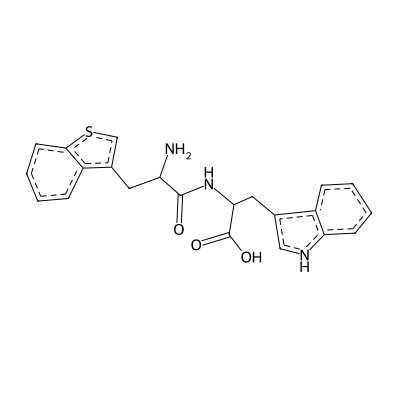 NC(Cc1csc2ccccc12)C(=O)NC(Cc1c[nH]c2ccccc12)C(=O)O